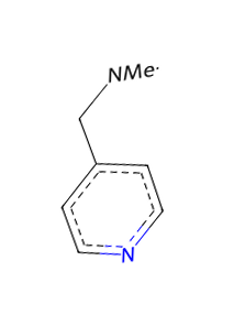 C[N]Cc1ccncc1